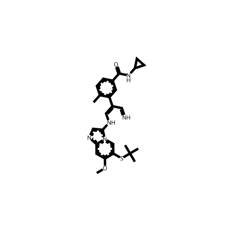 COc1cc2ncc(N/C=C(\C=N)c3cc(C(=O)NC4CC4)ccc3C)n2cc1SC(C)(C)C